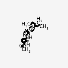 C=C(C)/C=C(\C=C/CC)N1CCN(c2ncnc(Nc3cccc(NC(C)=O)c3F)n2)CC1